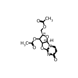 CC(=O)OC[C@H]1O[C@@H]2C(Oc3nc(=O)ccn32)C1OC(C)=O